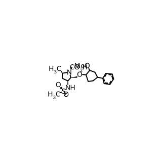 COC1CC(c2ccccc2)CCC1OC[C@H]1[C@@H](NS(C)(=O)=O)C[C@@H](C)N1C(=O)O